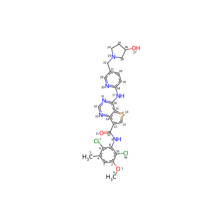 COc1cc(C)c(Cl)c(NC(=O)c2csc3c(Nc4ccc(CN5CCC(O)C5)cn4)ncnc23)c1Cl